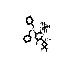 [2H]C([2H])([2H])Oc1nc(C2(O)CC(F)(F)C2)c(F)cc1N(Cc1ccccc1)Cc1ccccc1